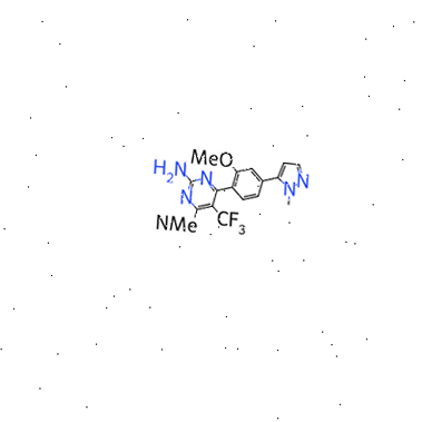 CNc1nc(N)nc(-c2ccc(-c3ccnn3C)cc2OC)c1C(F)(F)F